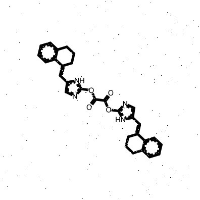 O=C(Oc1ncc(C=C2CCCc3ccccc32)[nH]1)C(=O)Oc1ncc(C=C2CCCc3ccccc32)[nH]1